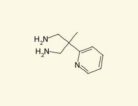 CC(CN)(CN)c1ccccn1